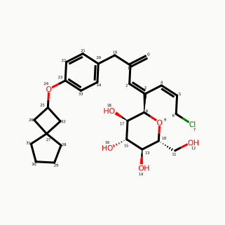 C=C(/C=C(\C=C/CCl)[C@H]1O[C@H](CO)[C@@H](O)[C@H](O)[C@H]1O)Cc1ccc(OC2CC3(CCCC3)C2)cc1